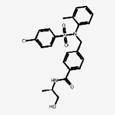 Cc1ccccc1N(Cc1ccc(C(=O)N[C@H](C)CO)cc1)S(=O)(=O)c1ccc(Cl)cc1